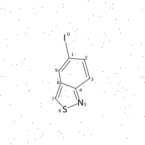 Ic1ccc2nscc2c1